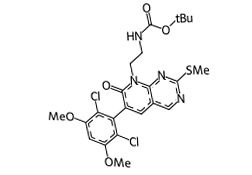 COc1cc(OC)c(Cl)c(-c2cc3cnc(SC)nc3n(CCNC(=O)OC(C)(C)C)c2=O)c1Cl